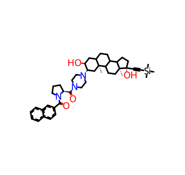 C[C@]12C[C@H](N3CCN(C(=O)[C@@H]4CCCN4C(=O)c4ccc5ccccc5c4)CC3)[C@@H](O)CC1CCC1C2CC[C@@]2(C)C1CC[C@@]2(O)C#C[Si](C)(C)C